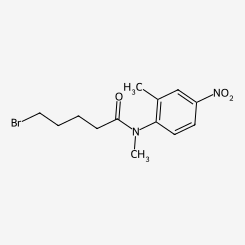 Cc1cc([N+](=O)[O-])ccc1N(C)C(=O)CCCCBr